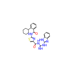 N=C(NC(=O)c1csc(NC(=O)c2ccccc2C2CCCCC2)n1)Nc1nc2ccccc2[nH]1